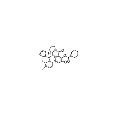 O=C(Oc1c2n(ncc1=O)[C@@H](C(c1ccccc1)c1cccc(F)c1F)[C@H]1CCCN1C2=O)N1CCCCC1